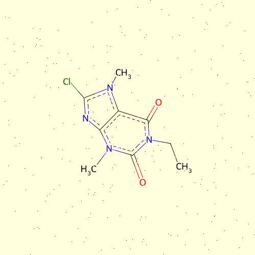 CCn1c(=O)c2c(nc(Cl)n2C)n(C)c1=O